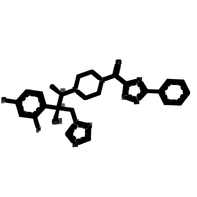 C[C@@H](N1CCN(C(=O)c2nc(-c3ccccc3)ns2)CC1)[C@](O)(Cn1cncn1)c1ccc(F)cc1F